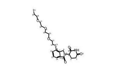 O=C1CCC(N2Cc3c(SCCOCCOCCOCCI)cccc3C2=O)C(=O)N1